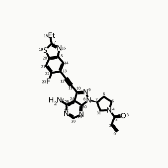 C=CC(=O)N1CC[C@H](n2nc(C#Cc3cc4nc(CC)sc4cc3F)c3c(N)ncnc32)C1